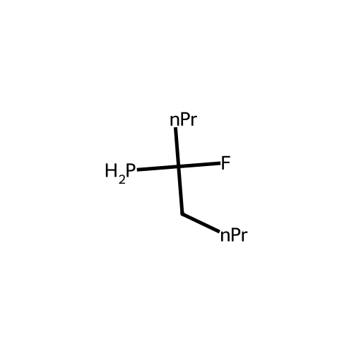 CCCCC(F)(P)CCC